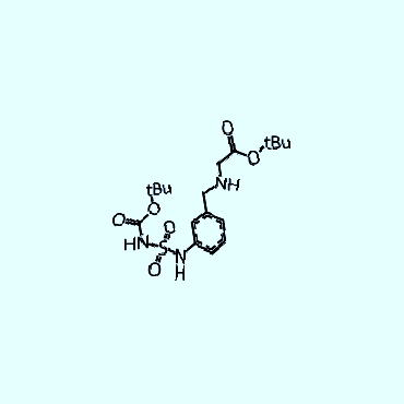 CC(C)(C)OC(=O)CNCc1cccc(NS(=O)(=O)NC(=O)OC(C)(C)C)c1